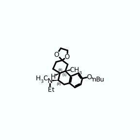 CCCCOc1ccc2c(c1)[C@@]1(C)CC3(CC[C@H]1[C@H](N(C)CC)C2)OCCO3